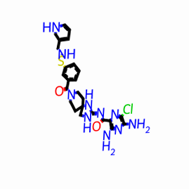 Nc1nc(N)c(C(=O)/N=C2\NCC3(CCN(C(=O)c4cccc(SNCC5=CC=CNC5)c4)CC3)N2)nc1Cl